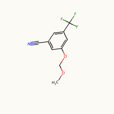 COCOc1cc(C#N)cc(C(F)(F)F)c1